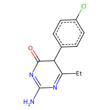 CCC1=NC(N)=NC(=O)C1c1ccc(Cl)cc1